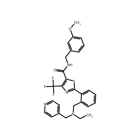 CCN(Cc1ccncc1)Cc1ccccc1-c1nc(C(F)(F)F)c(C(=O)NCc2cccc(OC)c2)s1